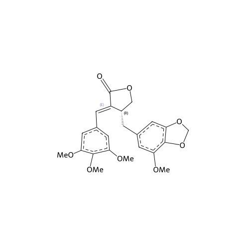 COc1cc(/C=C2/C(=O)OC[C@@H]2Cc2cc(OC)c3c(c2)OCO3)cc(OC)c1OC